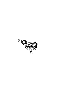 O=S(=O)(Nc1ncccn1)c1ccc(Br)cc1